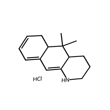 CC1(C)C2CC=CC=C2C=C2NCCCC21.Cl